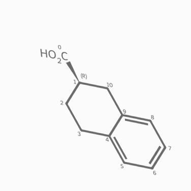 O=C(O)[C@@H]1CCc2ccccc2C1